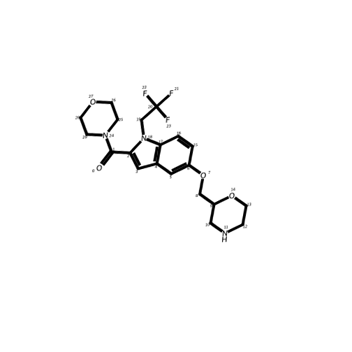 O=C(c1cc2cc(OCC3CNCCO3)ccc2n1CC(F)(F)F)N1CCOCC1